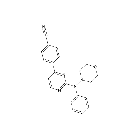 N#Cc1ccc(-c2ccnc(N(c3ccccc3)N3CCOCC3)n2)cc1